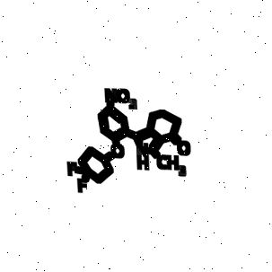 Cc1[nH]c(-c2cc([N+](=O)[O-])ccc2OC2CCC(F)(F)CC2)c2c1C(=O)CCC2